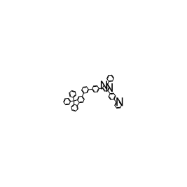 c1ccc(-c2nc(-c3ccc(-c4cccc(-c5ccc6c(c5)C(c5ccccc5)(c5ccccc5)c5ccccc5-6)c4)cc3)cc(-c3ccc(-c4ccccn4)cc3)n2)cc1